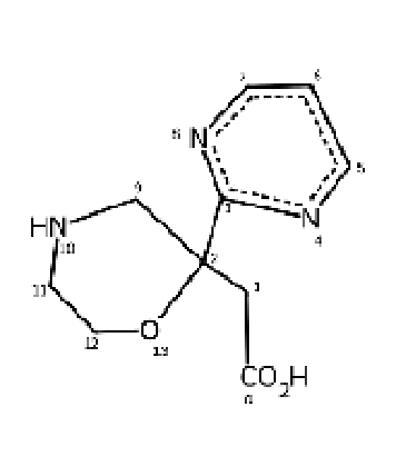 O=C(O)CC1(c2ncccn2)CNCCO1